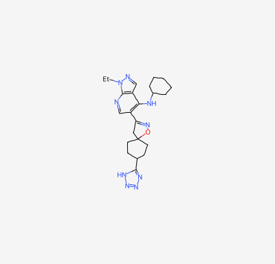 CCn1ncc2c(NC3CCCCC3)c(C3=NOC4(CCC(c5nnn[nH]5)CC4)C3)cnc21